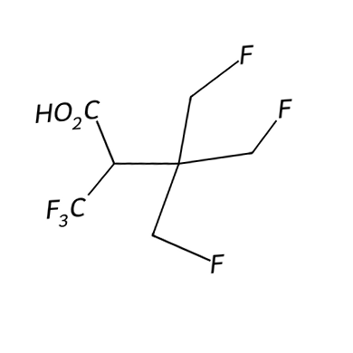 O=C(O)C(C(F)(F)F)C(CF)(CF)CF